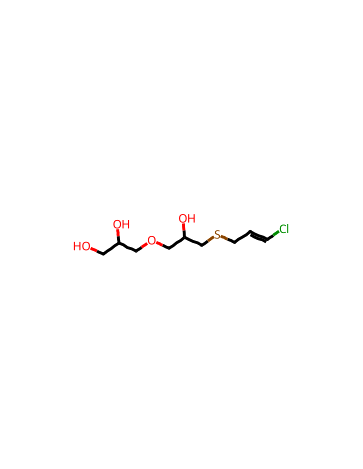 OCC(O)COCC(O)CSCC=CCl